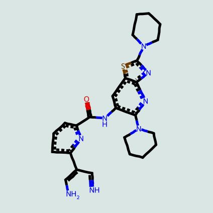 N=C/C(=C\N)c1cccc(C(=O)Nc2cc3sc(N4CCCCC4)nc3nc2N2CCCCC2)n1